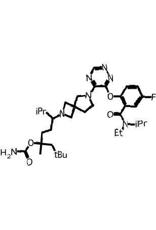 CCN(C(=O)c1cc(F)ccc1Oc1nncnc1N1CCC2(C1)CN(C(CCC(C)(CC(C)(C)C)OC(N)=O)C(C)C)C2)C(C)C